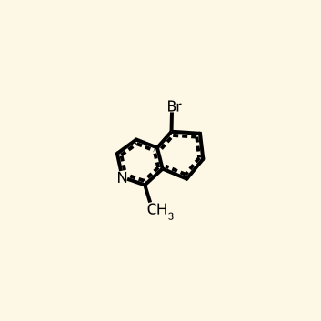 Cc1nccc2c(Br)cccc12